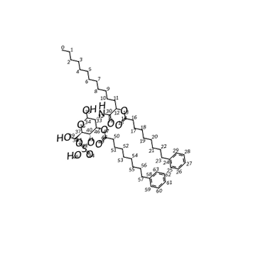 CCCCCCCCCCCCC(OC(=O)CCCCCCCCc1ccccc1)C(=O)N[C@H]1C(O)O[C@H](CO)[C@@H](OS(=O)(=O)O)[C@@H]1OC(=O)CCCCCCCCc1ccccc1